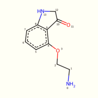 NCCOc1cccc2c1C(=O)CN2